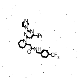 CC(C)c1cc(N2CCCCC2CC(=O)NCc2ccc(C(F)(F)F)cc2)nc(-n2ccnc2)n1